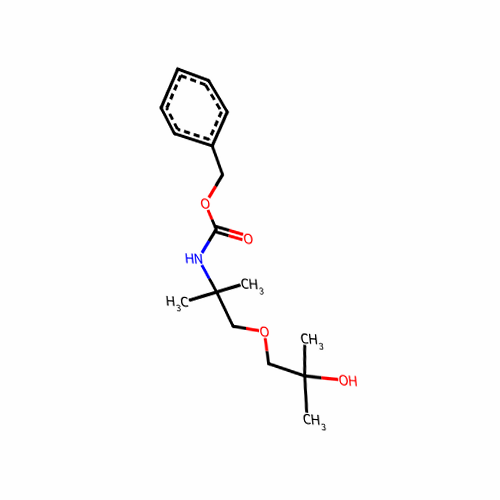 CC(C)(O)COCC(C)(C)NC(=O)OCc1ccccc1